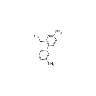 Nc1cccc(-c2ccc(N)cc2CO)c1